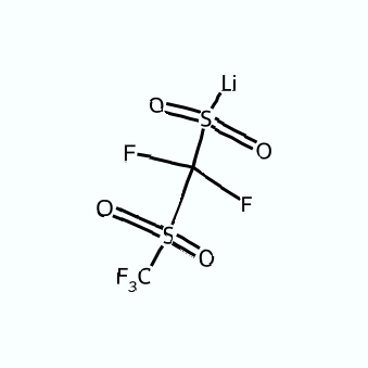 [Li][S](=O)(=O)C(F)(F)S(=O)(=O)C(F)(F)F